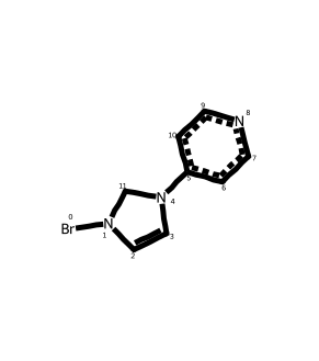 BrN1C=CN(c2ccncc2)C1